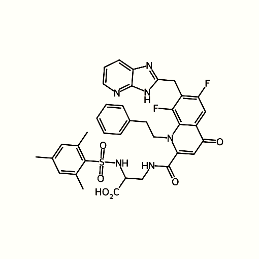 Cc1cc(C)c(S(=O)(=O)NC(CNC(=O)c2cc(=O)c3cc(F)c(Cc4nc5cccnc5[nH]4)c(F)c3n2CCc2ccccc2)C(=O)O)c(C)c1